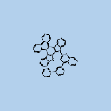 c1ccc(-c2cccc(-c3cc(-n4c5ccccc5c5c6c7ccccc7c7ccccc7c6c6c7ccccc7sc6c54)nc4cnccc34)c2)cc1